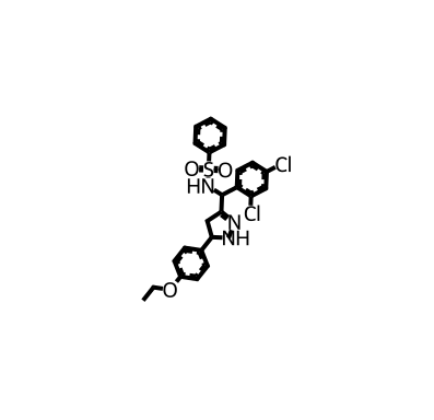 CCOc1ccc(C2CC(C(NS(=O)(=O)c3ccccc3)c3ccc(Cl)cc3Cl)=NN2)cc1